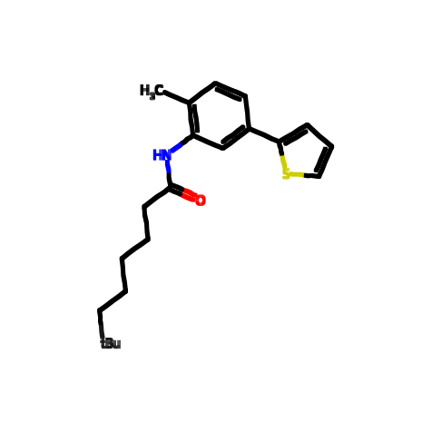 Cc1ccc(-c2cccs2)cc1NC(=O)CCCCCC(C)(C)C